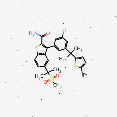 CC(C)c1ccc(C(C)(C)c2cc(Cl)cc(-c3c(C(N)=O)sc4ccc(C(C)(C)S(C)(=O)=O)cc34)c2)s1